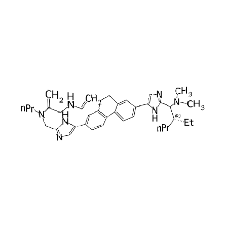 C=CNCC(=C)N(CCC)Cc1ncc(-c2ccc3c(c2)CCc2cc(-c4cnc(C([C@H](CC)CCC)N(C)C)[nH]4)ccc2-3)[nH]1